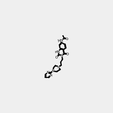 CC(=O)Nc1ccc2c(=O)n(CCCN3CCN(c4ncccn4)CC3)c(=O)[nH]c2c1